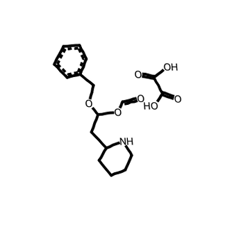 O=C(O)C(=O)O.O=COC(CC1CCCCN1)OCc1ccccc1